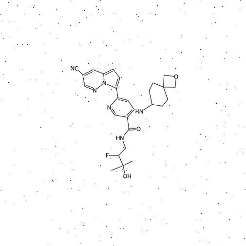 CC(C)(O)C(F)CNC(=O)c1cnc(-c2ccc3cc(C#N)cnn23)cc1NC1CCC2(CC1)COC2